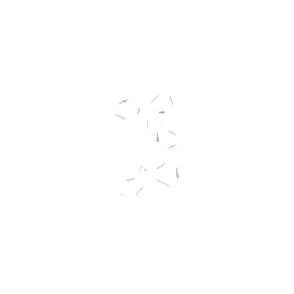 c1ccc([PH](CCCn2c3ccccc3c3ccccc32)(c2ccccc2)c2ccccc2)cc1